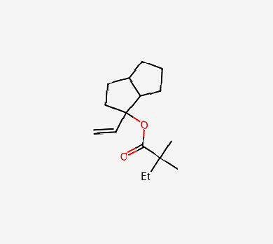 C=CC1(OC(=O)C(C)(C)CC)CCC2CCCC21